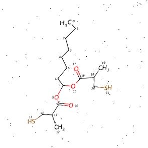 CCCCCCCC(OC(=O)C(C)CS)OC(=O)C(C)CS